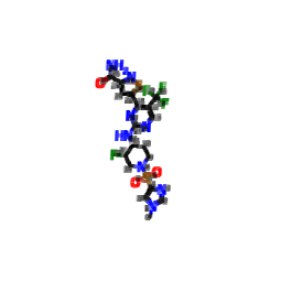 Cn1cnc(S(=O)(=O)N2CC[C@@H](Nc3ncc(C(F)(F)F)c(-c4cc(C(N)=O)ns4)n3)[C@H](F)C2)c1